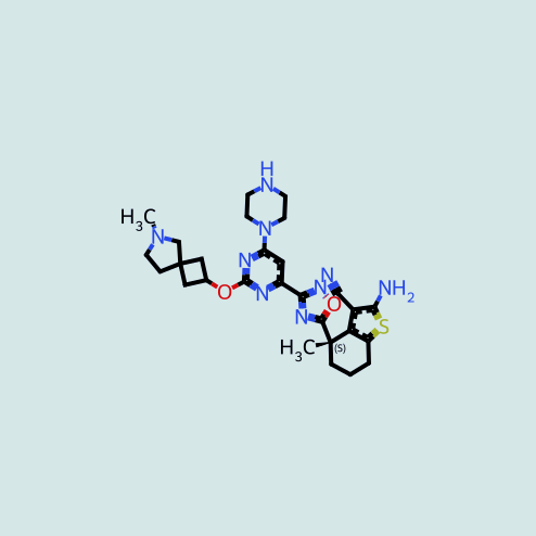 CN1CCC2(CC(Oc3nc(-c4noc([C@@]5(C)CCCc6sc(N)c(C#N)c65)n4)cc(N4CCNCC4)n3)C2)C1